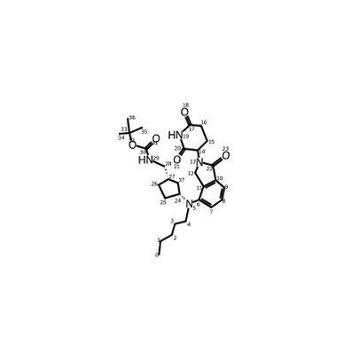 CCCCCN(c1cccc2c1CN(C1CCC(=O)NC1=O)C2=O)[C@@H]1CC[C@H](CNC(=O)OC(C)(C)C)C1